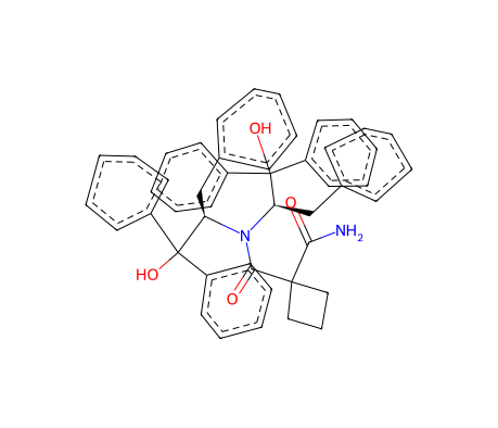 NC(=O)C1(C(=O)N([C@H](Cc2ccccc2)C(O)(c2ccccc2)c2ccccc2)[C@H](Cc2ccccc2)C(O)(c2ccccc2)c2ccccc2)CCC1